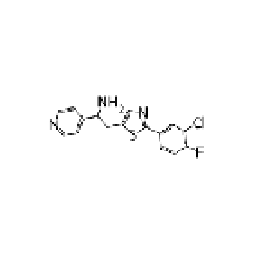 NC(Cc1cnc(-c2ccc(F)c(Cl)c2)s1)c1ccncc1